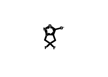 [O-]c1on[n+]2c1CC(F)(F)C2